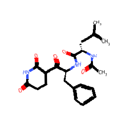 CC(=O)N[C@@H](CC(C)C)C(=O)N[C@@H](Cc1ccccc1)C(=O)C1CCC(=O)NC1=O